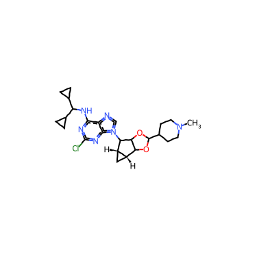 CN1CCC(C2OC3C(O2)[C@@H]2C[C@@H]2C3n2cnc3c(NC(C4CC4)C4CC4)nc(Cl)nc32)CC1